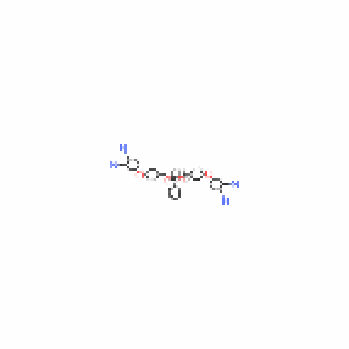 C[Si](OCc1ccc(Oc2ccc(C#N)c(C#N)c2)cc1)(OCc1ccc(Oc2ccc(C#N)c(C#N)c2)cc1)c1ccccc1